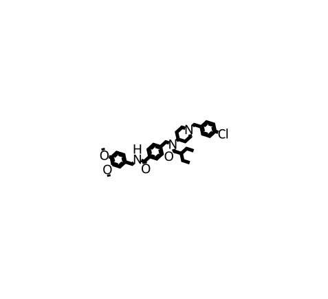 CCC(CC)C(=O)N(Cc1ccc(C(=O)NCc2ccc(OC)c(OC)c2)cc1)C1CCN(Cc2ccc(Cl)cc2)CC1